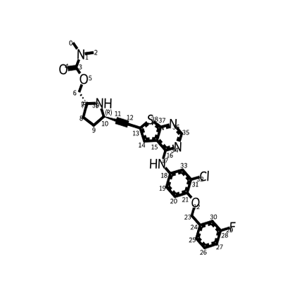 CN(C)C(=O)OC[C@H]1CC[C@H](C#Cc2cc3c(Nc4ccc(OCc5cccc(F)c5)c(Cl)c4)ncnc3s2)N1